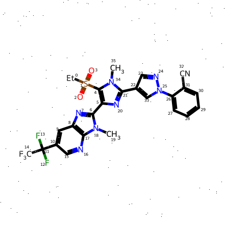 CCS(=O)(=O)c1c(-c2nc3cc(C(F)(F)C(F)(F)F)cnc3n2C)nc(-c2cnn(-c3ccccc3C#N)c2)n1C